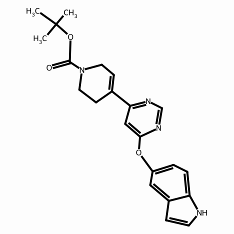 CC(C)(C)OC(=O)N1CC=C(c2cc(Oc3ccc4[nH]ccc4c3)ncn2)CC1